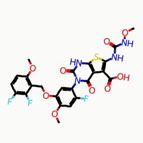 CONC(=O)Nc1sc2[nH]c(=O)n(-c3cc(OCc4c(OC)ccc(F)c4F)c(OC)cc3F)c(=O)c2c1C(=O)O